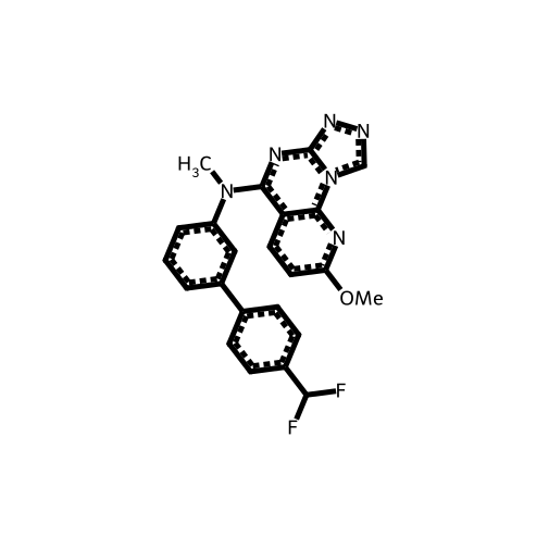 COc1ccc2c(N(C)c3cccc(-c4ccc(C(F)F)cc4)c3)nc3nncn3c2n1